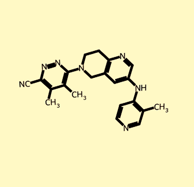 Cc1cnccc1Nc1cnc2c(c1)CN(c1nnc(C#N)c(C)c1C)CC2